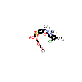 CCOCCOCCOC(O)CS(=O)(=O)c1ccc([C@@H](C)NC(=O)c2cc3c(Cl)cc(C)cc3n2C)cc1